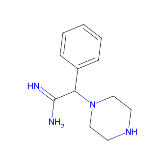 N=C(N)C(c1ccccc1)N1CCNCC1